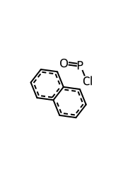 O=PCl.c1ccc2ccccc2c1